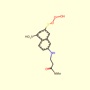 CNC(=O)CCNc1ccc2c(S(=O)(=O)O)cc(SOOO)cc2c1